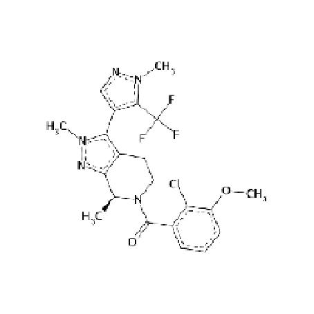 COc1cccc(C(=O)N2CCc3c(nn(C)c3-c3cnn(C)c3C(F)(F)F)[C@@H]2C)c1Cl